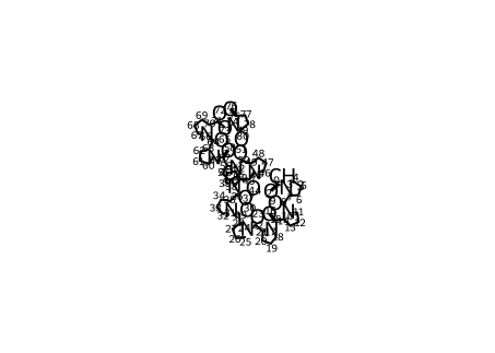 CC(=O)N1CCCC1C(=O)N1CCCC1C(=O)N1CCCC1C(=O)N1CCCC1C(=O)N1CCCC1C(=O)N1CCCC1C(=O)N1CCCC1C(=O)N1CCCC1C(=O)N1CCCC1C(=O)N1CCCC1C(=O)ON1C(=O)CCC1=O